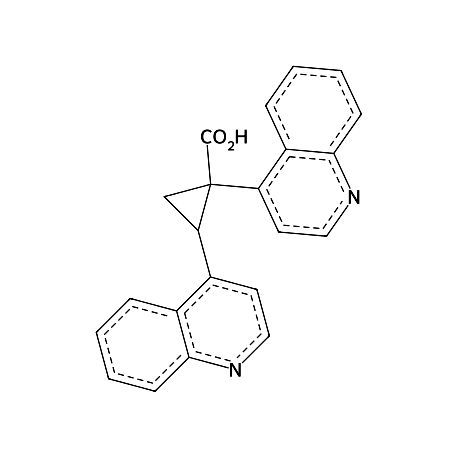 O=C(O)C1(c2ccnc3ccccc23)CC1c1ccnc2ccccc12